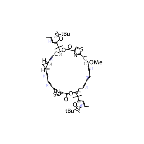 C/C=C/[C@H](O[Si](C)(C)C(C)(C)C)C(C)(C)[C@@H]1C\C=C/C=C\C=C\[C@H](OC)Cc2nc(cs2)C(=O)O[C@H](C(C)(C)[C@@H](/C=C/C)O[Si](C)(C)C(C)(C)C)C/C=C\[C@H]2C[C@H]2/C=C/C=C\c2nc(cs2)C(=O)O1